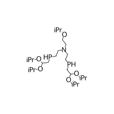 CC(C)OCCN(CCPCC(OC(C)C)OC(C)C)CCPCC(OC(C)C)OC(C)C